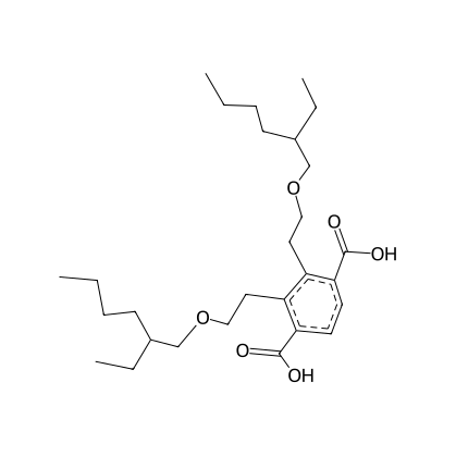 CCCCC(CC)COCCc1c(C(=O)O)ccc(C(=O)O)c1CCOCC(CC)CCCC